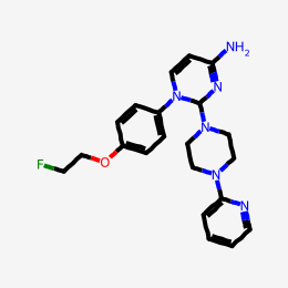 NC1=NC(N2CCN(c3ccccn3)CC2)N(c2ccc(OCCF)cc2)C=C1